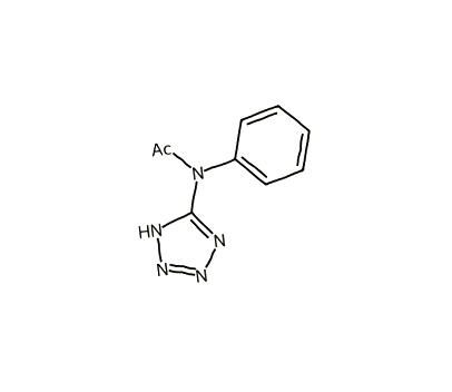 CC(=O)N(c1ccccc1)c1nnn[nH]1